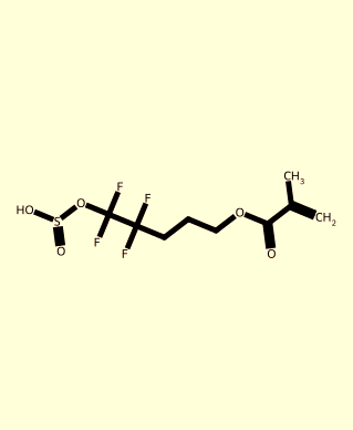 C=C(C)C(=O)OCCCC(F)(F)C(F)(F)OS(=O)O